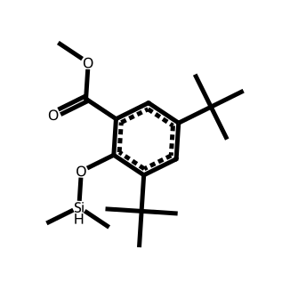 COC(=O)c1cc(C(C)(C)C)cc(C(C)(C)C)c1O[SiH](C)C